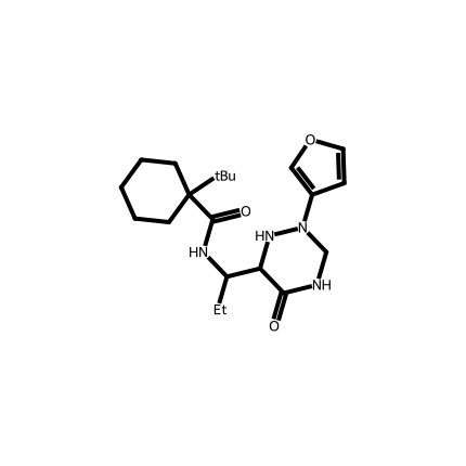 CCC(NC(=O)C1(C(C)(C)C)CCCCC1)C1NN(c2ccoc2)CNC1=O